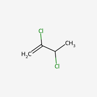 C=C(Cl)C(C)Cl